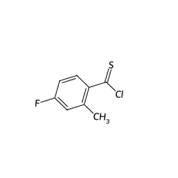 Cc1cc(F)ccc1C(=S)Cl